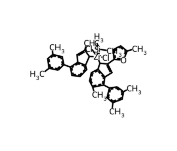 CC1=Cc2c(-c3cc(C)cc(C)c3)cccc2[CH]1[Zr]([Cl])([Cl])([CH]1C(c2ccc(C)o2)=Cc2c1ccc(C)c2-c1cc(C)cc(C)c1)=[Si](C)C